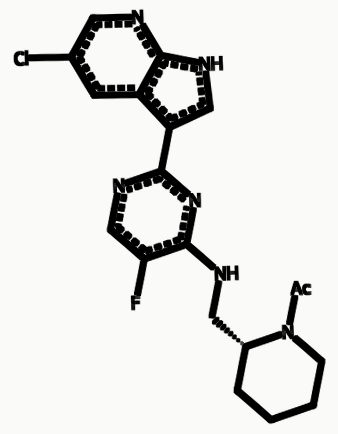 CC(=O)N1CCCC[C@@H]1CNc1nc(-c2c[nH]c3ncc(Cl)cc23)ncc1F